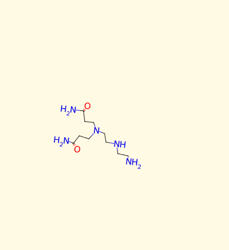 NCCNCCN(CCC(N)=O)CCC(N)=O